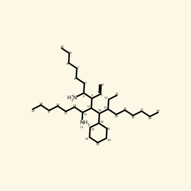 C=CC(C(N)CCCCCC)C(C(N)CCCCCC)C(C(CC)CCCCCC)C1CCCCC1